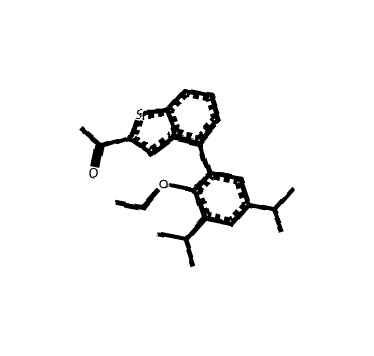 CCOc1c(-c2cccc3sc(C(C)=O)cc23)cc(C(C)C)cc1C(C)C